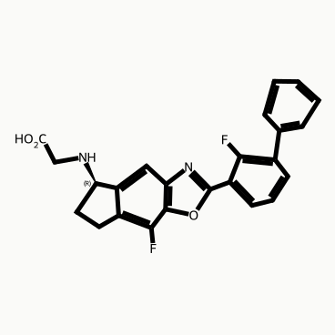 O=C(O)CN[C@@H]1CCc2c1cc1nc(-c3cccc(-c4ccccc4)c3F)oc1c2F